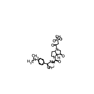 CC(C)C[C@H](NC(=O)c1ccc(N(C)C)cc1)C(=O)N1CCC2[C@H]1C(=O)CN2C(=O)CS(C)(=O)=O